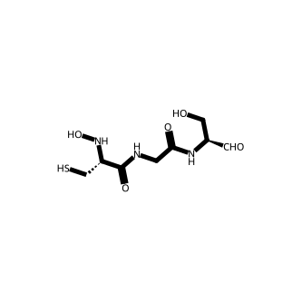 O=C[C@H](CO)NC(=O)CNC(=O)[C@H](CS)NO